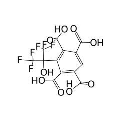 O=C(O)c1cc(C(=O)O)c(C(=O)O)c(C(O)(C(F)(F)F)C(F)(F)F)c1C(=O)O